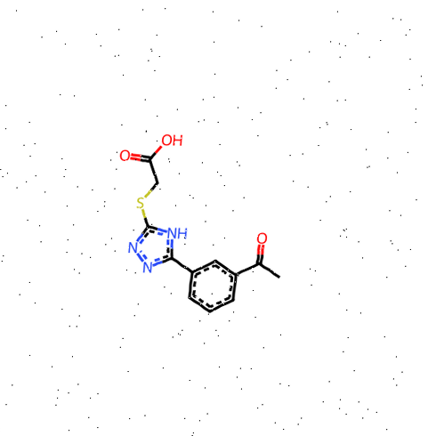 CC(=O)c1cccc(-c2nnc(SCC(=O)O)[nH]2)c1